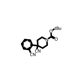 CC(C)(C)OC(=O)N1CCC(C#N)(c2ccccc2C#N)CC1